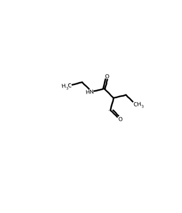 CCNC(=O)C([C]=O)CC